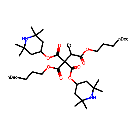 CCCCCCCCCCCCCOC(=O)C(CC)C(C(=O)OCCCCCCCCCCCCC)(C(=O)OC1CC(C)(C)NC(C)(C)C1)C(=O)OC1CC(C)(C)NC(C)(C)C1